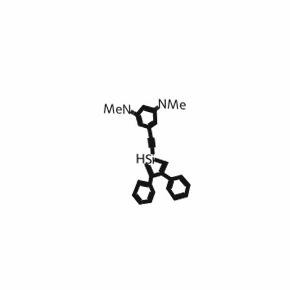 CNc1cc(C#C[SiH]2C=C(c3ccccc3)C(c3ccccc3)=C2)cc(NC)c1